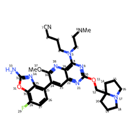 CNCCN(CCCC#N)c1nc(OCC23CCCN2CCC3)nc2cc(-c3ccc(F)c4oc(N)nc34)c(OC)nc12